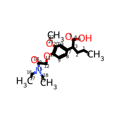 CCCC(C(=O)O)c1ccc(OCC(=O)N(CC)CC)c(OC)c1